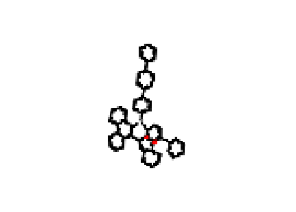 c1ccc(-c2ccc(-c3ccc(N(c4ccc(-c5ccccc5)cc4)c4c(-c5ccc6ccccc6c5)c5ccccc5c5ccccc45)cc3)cc2)cc1